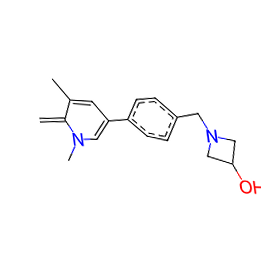 C=C1C(C)=CC(c2ccc(CN3CC(O)C3)cc2)=CN1C